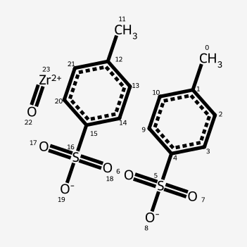 Cc1ccc(S(=O)(=O)[O-])cc1.Cc1ccc(S(=O)(=O)[O-])cc1.[O]=[Zr+2]